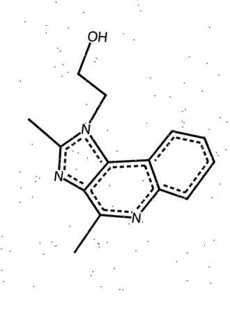 Cc1nc2ccccc2c2c1nc(C)n2CCO